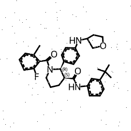 Cc1cccc(F)c1C(=O)N1CCC[C@H](C(=O)Nc2cccc(C(C)(C)C)c2)[C@@H]1c1ccc(NC2CCOC2)cc1